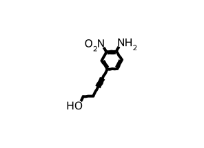 Nc1ccc(C#CCCO)cc1[N+](=O)[O-]